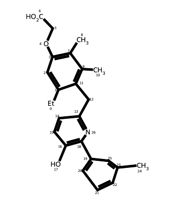 CCc1cc(OCC(=O)O)c(C)c(C)c1Cc1ccc(O)c(-c2cccc(C)c2)n1